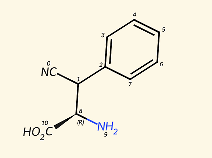 N#CC(c1ccccc1)[C@@H](N)C(=O)O